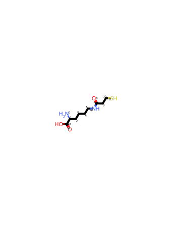 N[C@@H](CCCCNC(=O)CCS)C(=O)O